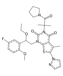 CCOC(Cn1c(=O)n(C(C)(C)C(=O)N2CCCC2)c(=O)c2c(C)c(-n3cccn3)sc21)c1cc(F)ccc1OC